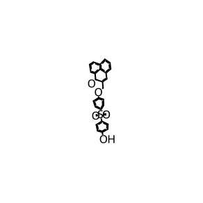 O=C1C(COc2ccc(S(=O)(=O)c3ccc(O)cc3)cc2)=Cc2cccc3cccc1c23